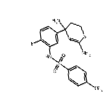 NC1=NC(N)(c2ccc(F)c(NS(=O)(=O)c3ccc(C(F)(F)F)cc3)c2)CCS1